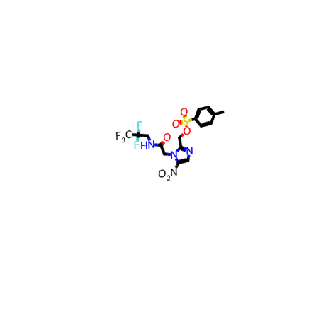 Cc1ccc(S(=O)(=O)OCc2ncc([N+](=O)[O-])n2CC(=O)NCC(F)(F)C(F)(F)F)cc1